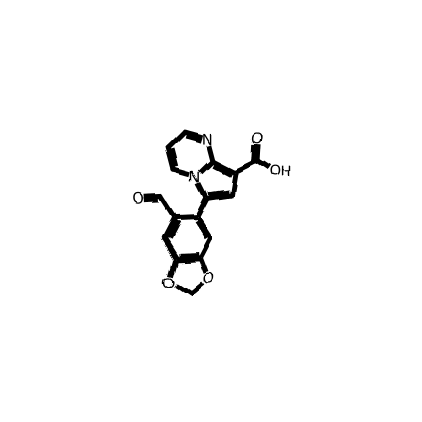 O=Cc1cc2c(cc1-c1cc(C(=O)O)c3ncccn13)OCO2